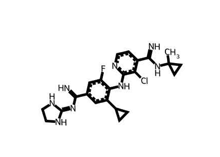 CC1(NC(=N)c2ccnc(Nc3c(F)cc(C(=N)N=C4NCCN4)cc3C3CC3)c2Cl)CC1